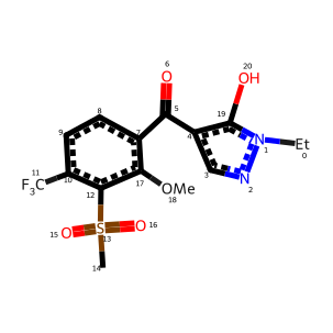 CCn1ncc(C(=O)c2ccc(C(F)(F)F)c(S(C)(=O)=O)c2OC)c1O